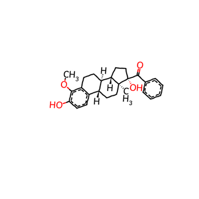 COc1c(O)ccc2c1CC[C@@H]1[C@@H]2CC[C@@]2(C)[C@H]1CC[C@@]2(O)C(=O)c1ccccc1